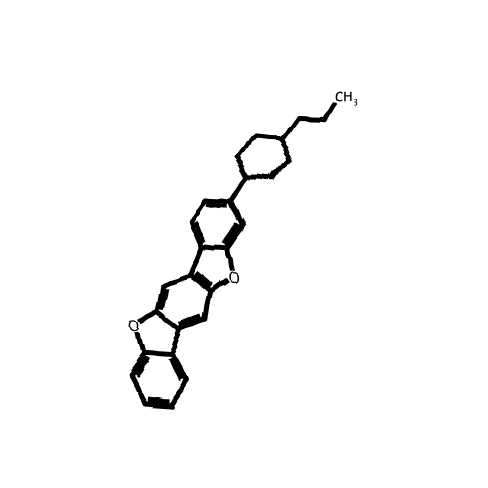 CCCC1CCC(c2ccc3c(c2)oc2cc4c(cc23)oc2ccccc24)CC1